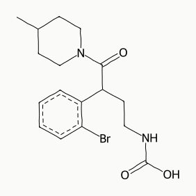 CC1CCN(C(=O)C(CCNC(=O)O)c2ccccc2Br)CC1